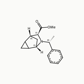 COC(=O)[C@@H]1[C@@H]2C[C@@H](C3CC32)N1[C@H](C)c1ccccc1